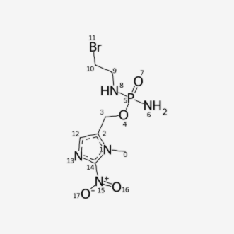 Cn1c(COP(N)(=O)NCCBr)cnc1[N+](=O)[O-]